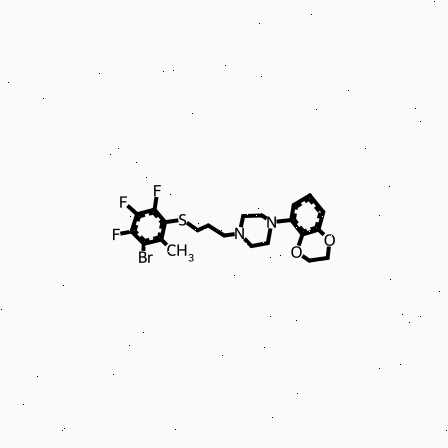 Cc1c(Br)c(F)c(F)c(F)c1SCCCN1CCN(c2cccc3c2OCCO3)CC1